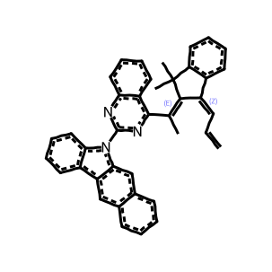 C=C/C=C1\C(=C(/C)c2nc(-n3c4ccccc4c4cc5ccccc5cc43)nc3ccccc23)C(C)(C)c2ccccc21